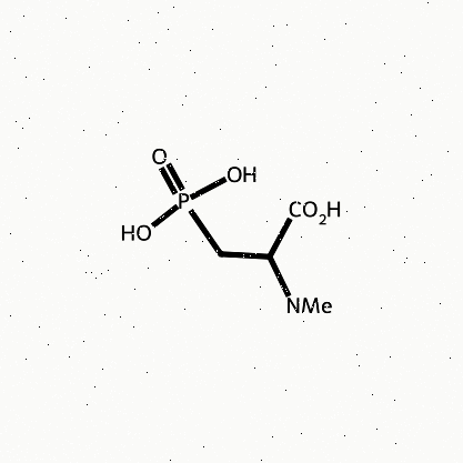 CNC(CP(=O)(O)O)C(=O)O